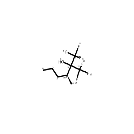 CCC[C@H](C)C(O)(C(F)(F)F)C(F)(F)F